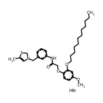 Br.CCCCCCCCCCCCOc1cc(OC)ccc1OCC(=O)Nc1cccc(CN2C=C(C)SC2)c1